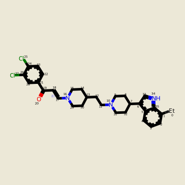 CCc1cccc2c(C3CCN(CCC4CCN(/C=C/C(=O)c5ccc(Cl)c(Cl)c5)CC4)CC3)c[nH]c12